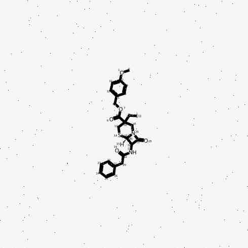 COc1ccc(COC(=O)C2(CI)CS[C@@H]3C(NC(=O)Cc4ccccc4)C(=O)N3C2)cc1